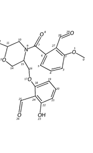 COc1cccc(C(=O)N2CC(C)OCC2COc2cccc(O)c2C=O)c1C=O